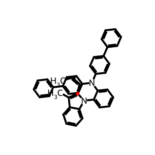 C/C=C\c1c(C)c2ccccc2n1-c1ccccc1N(c1ccc(-c2ccccc2)cc1)c1ccc(-c2ccccc2)cc1